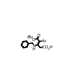 CCC(C)OC(=O)C(C(C)=O)=C(CC(=O)O)NCc1ccccc1